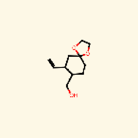 C=CC1CC2(CCC1CO)OCCO2